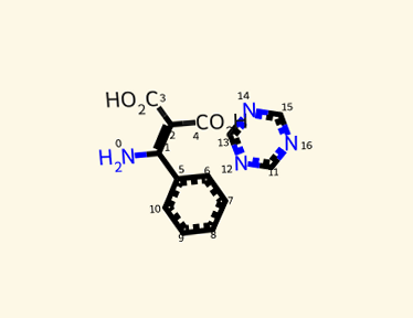 NC(=C(C(=O)O)C(=O)O)c1ccccc1.c1ncncn1